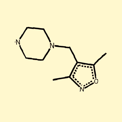 Cc1noc(C)c1CN1CC[N]CC1